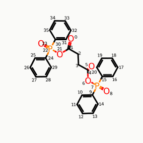 O=C(CCC(=O)OP(=O)(c1ccccc1)c1ccccc1)OP(=O)(c1ccccc1)c1ccccc1